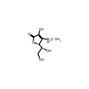 O.O.O=C1O[C@H]([C@@H](O)CO)C(O)=C1O